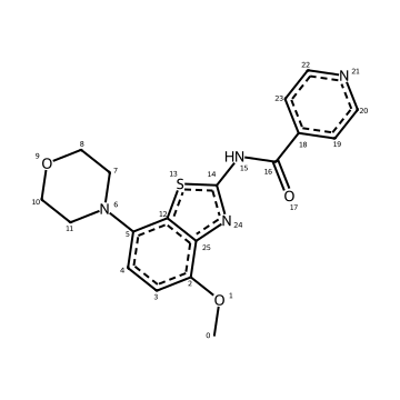 COc1ccc(N2CCOCC2)c2sc(NC(=O)c3ccncc3)nc12